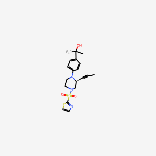 CC#C[C@H]1CN(S(=O)(=O)c2nccs2)CCN1c1ccc(C(C)(O)C(F)(F)F)cc1